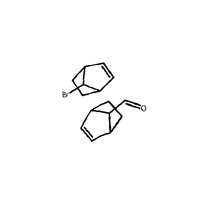 BrC1C2C=CC1CC2.O=CC1C2C=CC1CC2